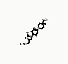 CC(=O)NCC1CN(c2ccc(N3CCC(F)(CC#N)CC3)c(F)c2)C(=O)O1